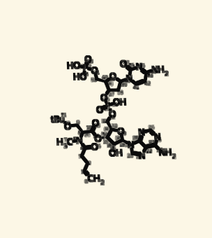 C=CCCC(=O)N(C)[C@@H](COC(C)(C)C)C(=O)O[C@H]1[C@@H](O)[C@H](n2cnc3c(N)ncnc32)O[C@@H]1COP(=O)(O)OC1CC(n2ccc(N)nc2=O)O[C@@H]1COP(=O)(O)O